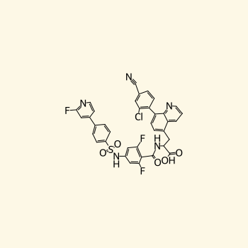 N#Cc1ccc(-c2ccc(CC(NC(=O)c3c(F)cc(NS(=O)(=O)c4ccc(-c5ccnc(F)c5)cc4)cc3F)C(=O)O)c3cccnc23)c(Cl)c1